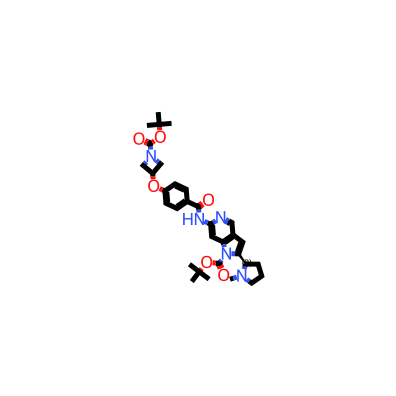 CN1CCC[C@@H]1c1cc2cnc(NC(=O)c3ccc(OC4CN(C(=O)OC(C)(C)C)C4)cc3)cc2n1C(=O)OC(C)(C)C